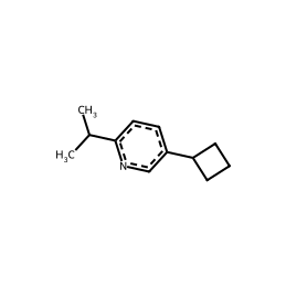 CC(C)c1ccc(C2CCC2)cn1